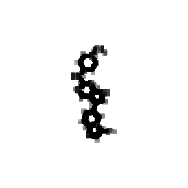 CN1CCC(Nc2ncc3c(-c4ccc5ncc(F)n5c4)c[nH]c3n2)CC1